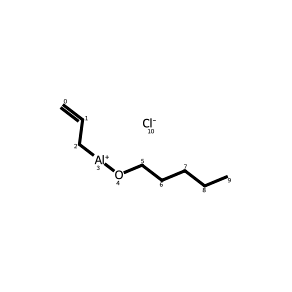 C=C[CH2][Al+][O]CCCCC.[Cl-]